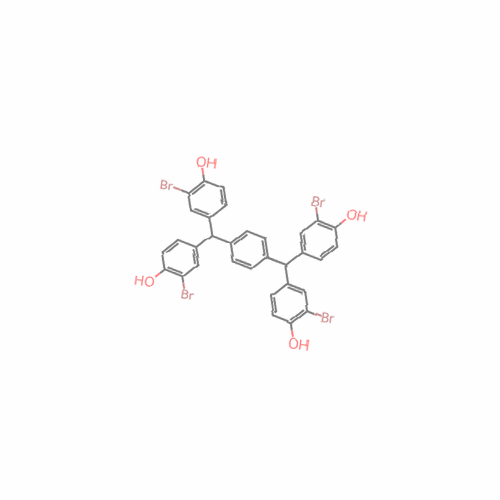 Oc1ccc(C(c2ccc(C(c3ccc(O)c(Br)c3)c3ccc(O)c(Br)c3)cc2)c2ccc(O)c(Br)c2)cc1Br